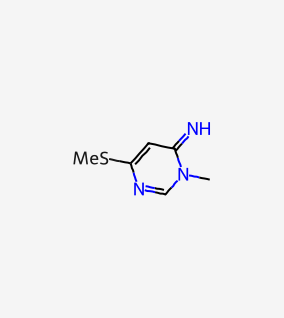 CSc1cc(=N)n(C)cn1